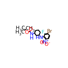 CC(C)(C)OC(=O)N[C@H]1CCC[C@@H](Nc2c([N+](=O)[O-])ccc(Br)c2F)C1